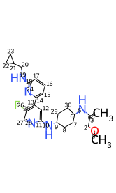 COC[C@@H](C)N[C@H]1CC[C@H](Nc2cc(-c3cccc(NCC4CC4)n3)c(F)cn2)CC1